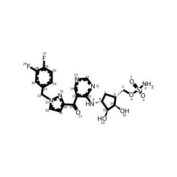 NS(=O)(=O)OC[C@H]1C[C@@H](Nc2ncncc2C(=O)c2ccn(Cc3ccc(F)c(F)c3)n2)[C@H](O)[C@@H]1O